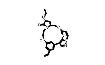 C=Cc1cc2cc(c1)-c1cnn3ccc(nc13)OCC1C[C@@H](OCC)C(=O)N1CCN2